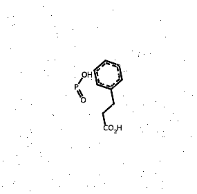 O=C(O)CCc1ccccc1.O=PO